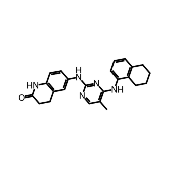 Cc1cnc(Nc2ccc3c(c2)CCC(=O)N3)nc1Nc1cccc2c1CCCC2